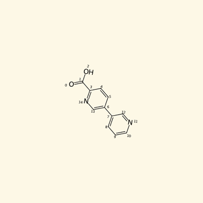 O=C(O)c1ccc(-c2cccnc2)cn1